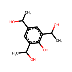 CC(O)c1cc(C(C)O)c(O)c(C(C)O)c1